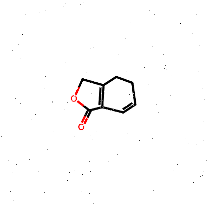 O=C1OCC2=C1C=CCC2